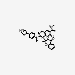 C=C(c1cc2cnc(Nc3ccc(C4CCNC4)cc3)nc2n(C2C(=O)c3ccccc3OC2(C)C)c1=O)N(C)C